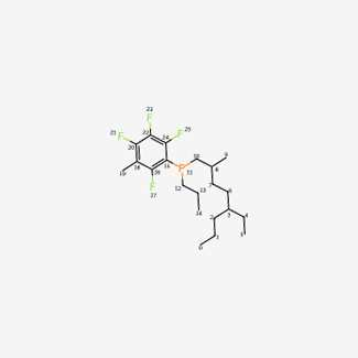 CCCC(CC)CCC(C)CP(CCC)c1c(F)c(C)c(F)c(F)c1F